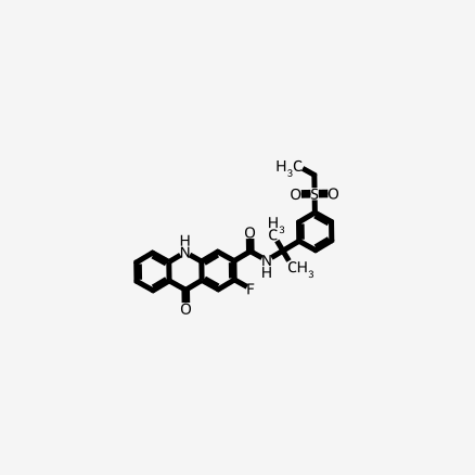 CCS(=O)(=O)c1cccc(C(C)(C)NC(=O)c2cc3[nH]c4ccccc4c(=O)c3cc2F)c1